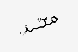 NC(=O)CCCCCC(Cc1cccs1)C(N)=O